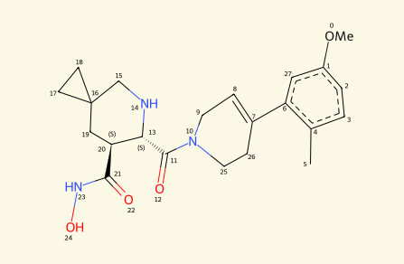 COc1ccc(C)c(C2=CCN(C(=O)[C@H]3NCC4(CC4)C[C@@H]3C(=O)NO)CC2)c1